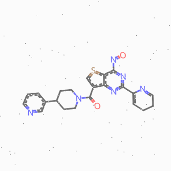 O=Nc1nc(C2=CCCC=N2)nc2c(C(=O)N3CCC(c4cccnc4)CC3)csc12